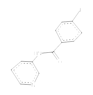 O=C(Nc1cccnc1)c1ccc(I)cc1